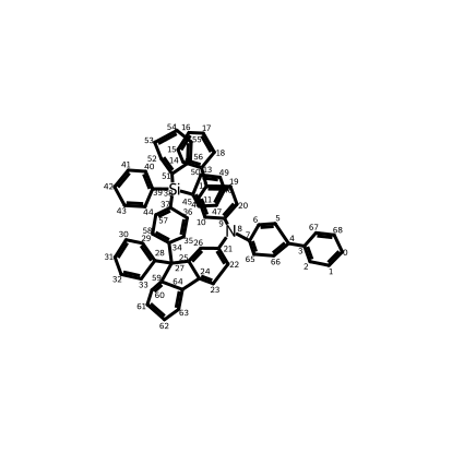 c1ccc(-c2ccc(N(c3ccc(-c4ccccc4)cc3)c3ccc4c(c3)C(c3ccccc3)(c3ccc([Si](c5ccccc5)(c5ccccc5)c5ccccc5)cc3)c3ccccc3-4)cc2)cc1